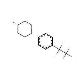 CCCCCCCC[C@H]1CC[C@H](c2ccc(C(F)(F)C(F)(F)CCC)cc2)CC1